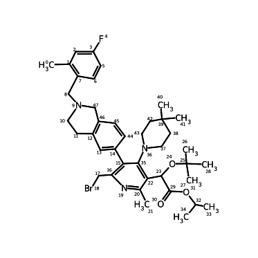 Cc1cc(F)ccc1CN1CCc2cc(-c3c(CBr)nc(C)c(C(OC(C)(C)C)C(=O)OC(C)C)c3N3CCC(C)(C)CC3)ccc2C1